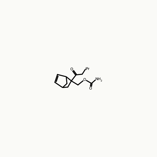 CC(C)CC(=O)C1(COC(N)=O)CC2C=CC1C2